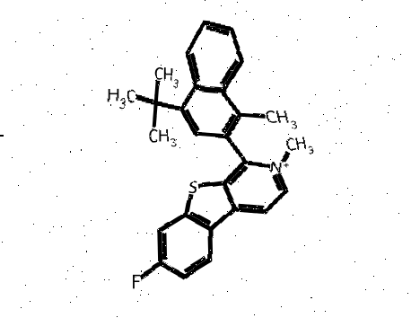 Cc1c(-c2c3sc4cc(F)ccc4c3cc[n+]2C)cc(C(C)(C)C)c2ccccc12